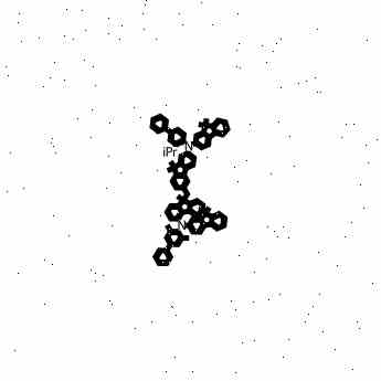 Cc1cc(-c2ccccc2)cc(C)c1N(c1ccc2c(c1)C(C)(C)c1ccccc1-2)c1cccc2c1-c1ccccc1C2(C)Cc1ccc2c(c1)-c1ccc(N(c3ccc4c(c3)C(C)(C)c3ccccc3-4)c3ccc(-c4ccccc4)cc3C(C)C)cc1C2(C)C